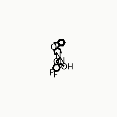 OC1N=C(N2CCC3(CC2)OCc2ccccc23)OC12CCC(F)(F)CC2